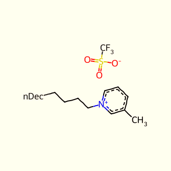 CCCCCCCCCCCCCC[n+]1cccc(C)c1.O=S(=O)([O-])C(F)(F)F